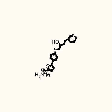 NS(=O)(=O)c1ccc(-c2ccc(SCC(O)CCc3cccnc3)cc2)s1